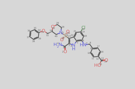 NC(=O)c1[nH]c2c(NCc3ccc(C(=O)O)cc3)cc(Cl)cc2c1S(=O)(=O)N1CCO[C@H](COc2ccccc2)C1